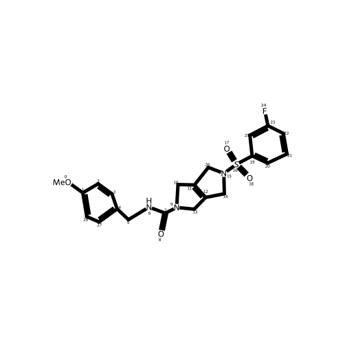 COc1ccc(CNC(=O)N2CC3=C(C2)CN(S(=O)(=O)c2cccc(F)c2)C3)cc1